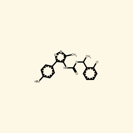 CCCCc1ccc(-c2onc(C)c2NC(=O)OC(C)c2ccccc2Cl)cc1